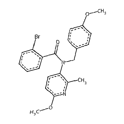 COc1ccc(CN(C(=O)c2ccccc2Br)c2ccc(OC)nc2C)cc1